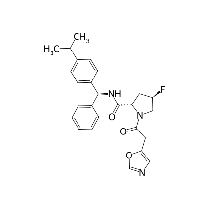 CC(C)c1ccc([C@@H](NC(=O)[C@@H]2C[C@@H](F)CN2C(=O)Cc2cnco2)c2ccccc2)cc1